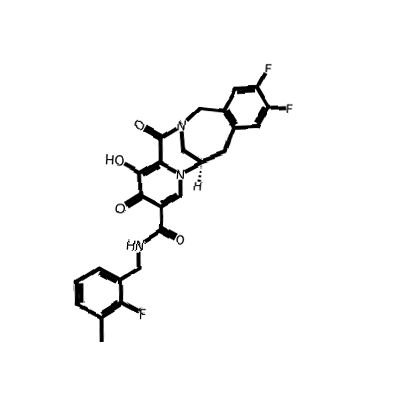 Cc1cccc(CNC(=O)c2cn3c(c(O)c2=O)C(=O)N2Cc4cc(F)c(F)cc4C[C@@H]3C2)c1F